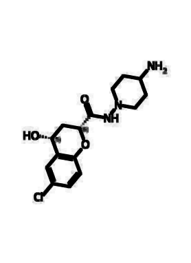 NC1CCN(NC(=O)[C@H]2C[C@@H](O)c3cc(Cl)ccc3O2)CC1